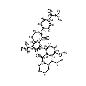 CCCC1CCCCN1C(=O)c1cc(OC)ccc1-n1nc(C(F)(F)F)c2c1C(=O)N(c1ccc(C(=O)N(C)C)cc1)CC2